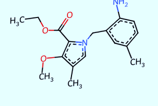 CCOC(=O)c1c(OC)c(C)cn1Cc1cc(C)ccc1N